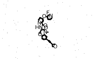 CN1C(=O)[C@@H](NC(=O)c2cc(Oc3cccnc3F)ccn2)COc2ccc(C#CC3COC3)cc21